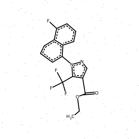 CCOC(=O)c1cnn(-c2cccc3c(F)cccc23)c1C(F)(F)F